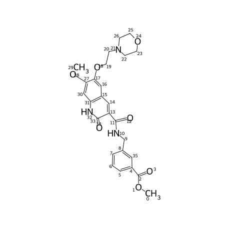 COC(=O)c1cccc(CNC(=O)c2cc3cc(OCCN4CCOCC4)c(OC)cc3[nH]c2=O)c1